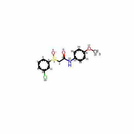 O=C(C[S+]([O-])c1cccc(Cl)c1)Nc1ccc(OC(F)(F)F)cc1